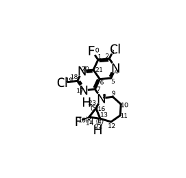 Fc1c(Cl)ncc2c(N3CCCC[C@H]4[C@@H](F)[C@H]43)nc(Cl)nc12